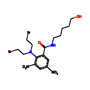 O=C(NCCCCCO)c1cc([N+](=O)[O-])cc([N+](=O)[O-])c1N(CCBr)CCBr